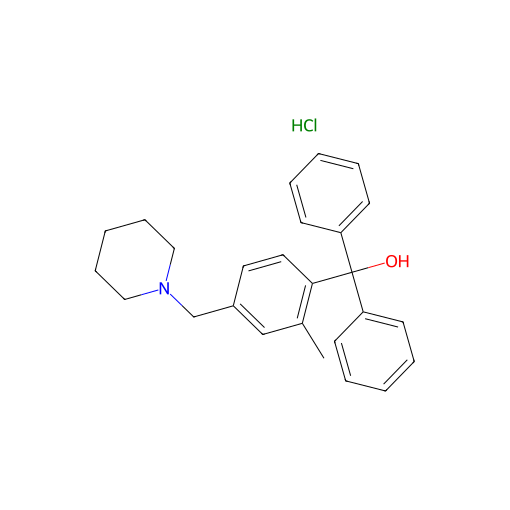 Cc1cc(CN2CCCCC2)ccc1C(O)(c1ccccc1)c1ccccc1.Cl